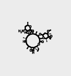 CC[C@H]1OC(=O)C(C)[C@H](OC2C[C@@](C)(OC)[C@@]3(CO3)[C@H](C)O2)[C@H](C)[C@@H](O[C@@H]2O[C@H](C)C[C@H](N)[C@H]2O)[C@@](C)(O)C[C@@H](C)NC[C@H](C)[C@@H](O)[C@]1(C)O